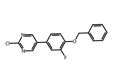 Fc1cc(-c2cnc(Cl)nc2)ccc1OCc1ccccc1